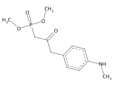 CNc1ccc(CC(=O)CP(=O)(OC)OC)cc1